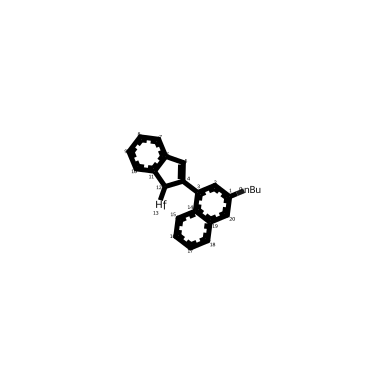 CCCCc1cc(C2=Cc3ccccc3[CH]2[Hf])c2ccccc2c1